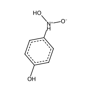 [O-][NH+](O)c1ccc(O)cc1